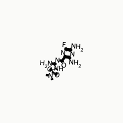 CN(C)S(=O)(=O)N/C(N)=N\C(=O)c1nc(F)c(N)nc1N